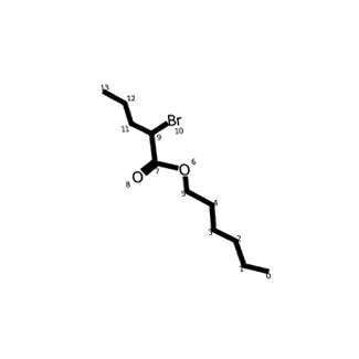 CCCCCCOC(=O)C(Br)CCC